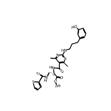 CCCOC(=O)[C@H](CNC(=O)c1cccs1)NC(=O)c1c(C)nc(NCCCc2cccc(O)c2)nc1C